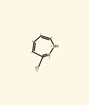 ClC1=NNC=CC=C1